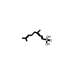 CC(C)=CCCC(C)=CC=CP(=O)(O)O